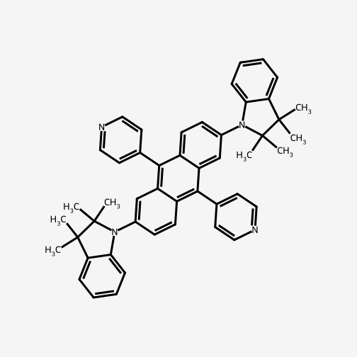 CC1(C)c2ccccc2N(c2ccc3c(-c4ccncc4)c4cc(N5c6ccccc6C(C)(C)C5(C)C)ccc4c(-c4ccncc4)c3c2)C1(C)C